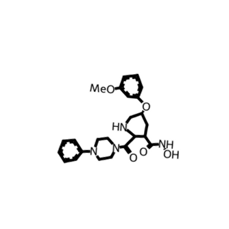 COc1cccc(O[C@@H]2CNC(C(=O)N3CCN(c4ccccc4)CC3)C(C(=O)NO)C2)c1